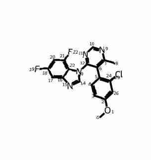 COc1ccc(-c2c(C)ncnc2-n2cnc3cc(F)cc(F)c32)c(Cl)c1